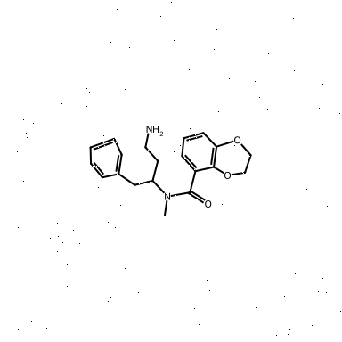 CN(C(=O)c1cccc2c1OCCO2)C(CCN)Cc1ccccc1